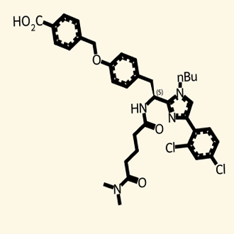 CCCCn1cc(-c2ccc(Cl)cc2Cl)nc1[C@H](Cc1ccc(OCc2ccc(C(=O)O)cc2)cc1)NC(=O)CCCC(=O)N(C)C